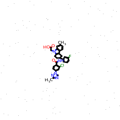 Cc1ccc2c3c(n(CC(=O)O)c2c1)CC[C@](NC(=O)c1ccc(-n2cnc(C)n2)cc1Cl)(c1cccc(F)c1)C3